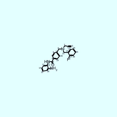 C#CCN(Cc1ccc(C(=O)Nc2ccccc2N)cc1)Cc1ccccc1F